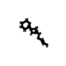 CC#CCCN1CC(N2CCCCC2)C1